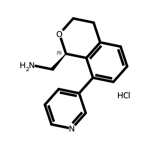 Cl.NC[C@H]1OCCc2cccc(-c3cccnc3)c21